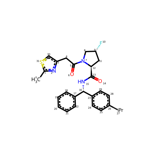 Cc1nc(CC(=O)N2C[C@H](F)C[C@H]2C(=O)N[C@@H](c2ccccc2)c2ccc(C(C)C)cc2)cs1